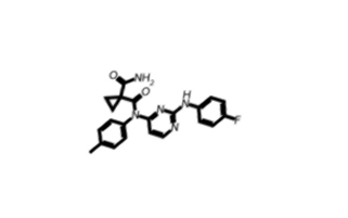 Cc1ccc(N(C(=O)C2(C(N)=O)CC2)c2ccnc(Nc3ccc(F)cc3)n2)cc1